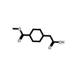 COC(=O)C1CCC(CC(=O)O)CC1